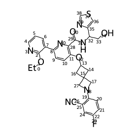 CCOc1ncccc1-c1ccc(OC2CC3(C2)CN(c2ccc(F)cc2C#N)C3)c(C(=O)NC(CO)c2cscn2)n1